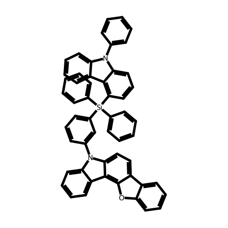 c1ccc(-n2c3ccccc3c3c([Si](c4ccccc4)(c4ccccc4)c4cccc(-n5c6ccccc6c6c7oc8ccccc8c7ccc65)c4)cccc32)cc1